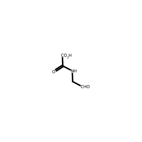 O=CCNC(=O)C(=O)O